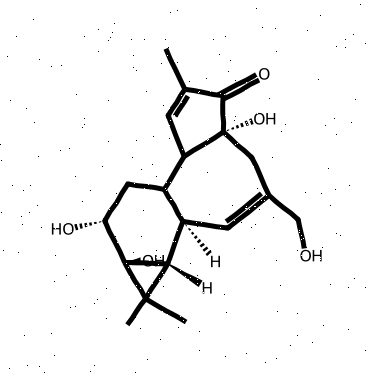 CC1=CC2C3C[C@@H](O)[C@]4(O)[C@H]([C@@H]3C=C(CO)C[C@]2(O)C1=O)C4(C)C